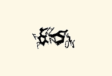 Cc1cc(F)c(F)c(C(C)C)c1Nc1nccc2c1cc(C)n2CC(=O)N(C)C